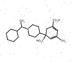 CC1=CC(C(=O)O)(C2CCN(C(C)C3CCCCC3)CC2)CC(C(=O)O)=C1